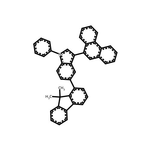 CC1(C)c2ccccc2-c2cccc(-c3ccc4c(c3)c(-c3cc5ccccc5c5ccccc35)cn4-c3ccccc3)c21